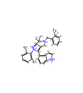 CCc1cccc(CC)c1-n1nc2c(c1-c1cccc3[nH]ccc13)CN(Cc1ccccc1C(F)(F)F)C2(C)C